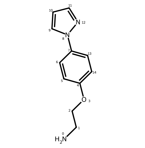 NCCOc1ccc(-n2cccn2)cc1